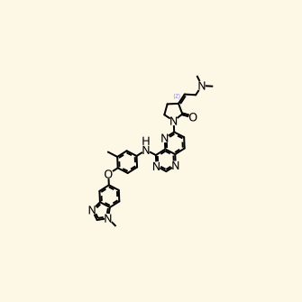 Cc1cc(Nc2ncnc3ccc(N4CC/C(=C/CN(C)C)C4=O)nc23)ccc1Oc1ccc2c(c1)ncn2C